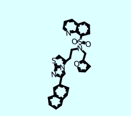 O=S(=O)(c1cccc2cccnc12)N(CCc1csc2nc(-c3ccc4ccccc4c3)cn12)Cc1ccco1